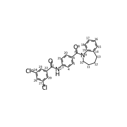 O=C(Nc1ccc(C(=O)N2CCCCc3ccccc32)cc1)c1cc(Cl)cc(Cl)c1